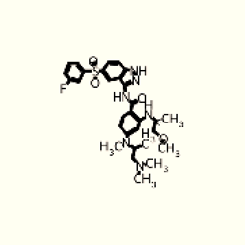 COC[C@@H](C)Nc1cc(N(C)C(C)CN(C)C)ccc1C(=O)Nc1n[nH]c2ccc(S(=O)(=O)c3cccc(F)c3)cc12